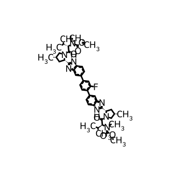 COC(=O)N(C)[C@H](C(=O)N1C[C@@H](C)C[C@H]1c1nc2cc(-c3ccc(-c4ccc5[nH]c([C@@H]6C[C@H](C)CN6C(=O)[C@H](C(C)C)N(C)C(=O)OC)nc5c4)c(F)c3)ccc2[nH]1)C(C)C